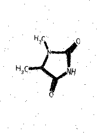 CC1C(=O)NC(=O)N1C